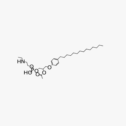 CCCCCCCCCCCCCCc1ccc(OCC(COP(O)OCCNCC)OC(C)=O)cc1